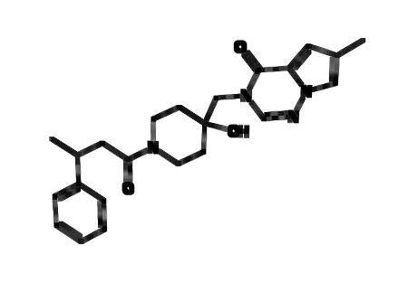 Cc1cc2c(=O)n(CC3(O)CCN(C(=O)CC(C)c4ccccc4)CC3)cnn2c1